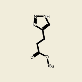 CC(C)(C)OC(=O)CCc1c[nH]nn1